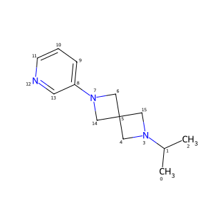 CC(C)N1CC2(CN(c3cccnc3)C2)C1